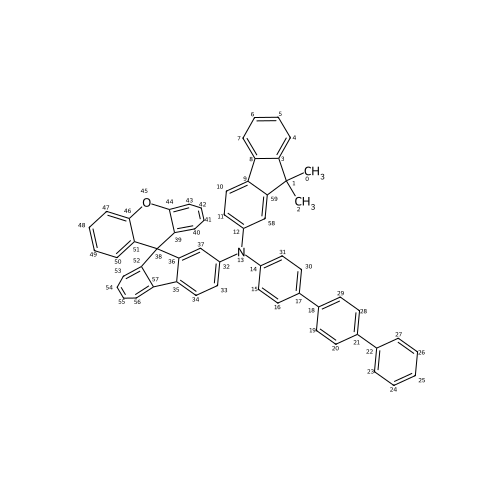 CC1(C)c2ccccc2-c2ccc(N(c3ccc(-c4ccc(-c5ccccc5)cc4)cc3)c3ccc4c(c3)C3(c5ccccc5Oc5ccccc53)c3ccccc3-4)cc21